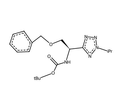 CC(C)n1nnc([C@H](COCc2ccccc2)NC(=O)OC(C)(C)C)n1